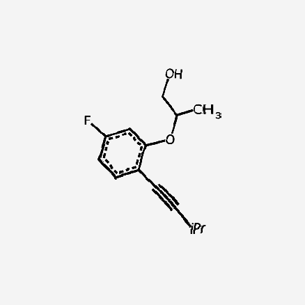 CC(C)C#Cc1ccc(F)cc1OC(C)CO